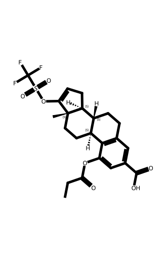 CCC(=O)Oc1cc(C(=O)O)cc2c1[C@H]1CC[C@]3(C)C(OS(=O)(=O)C(F)(F)F)=CC[C@H]3[C@@H]1CC2